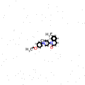 CCOC1CCC(C)(N2CCC(N3C(=O)CCc4ccc(C)cc43)CC2)CC1